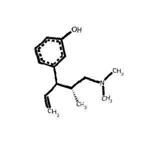 C=CC(c1cccc(O)c1)[C@@H](C)CN(C)C